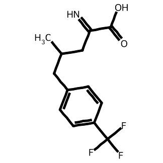 CC(CC(=N)C(=O)O)Cc1ccc(C(F)(F)F)cc1